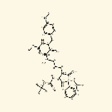 COC(=O)N[C@@H](Cc1ccc(OC)cc1)C(=O)N[C@@H](C)CCCN1C(=O)[C@@](CC(C)C)(c2ccccc2)N/C1=N\C(=O)OC(C)(C)C